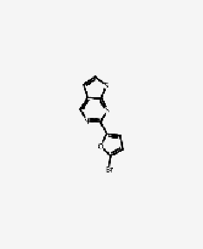 Brc1ccc(-c2ncc3ccsc3n2)o1